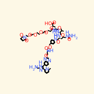 Cc1cccc(-c2nc(CN)[nH]c2-c2ccc3ncc(OCCNC(=O)OCc4ccc(NC(=O)[C@H](CCCNC(N)=O)NC(=O)[C@@H](NC(=O)[C@H](CCC(=O)O)NC(=O)CCOCCOCCOCCOCCN5C(=O)C=CC5=O)C(C)C)cc4)nc3c2)n1